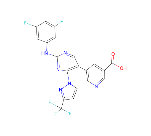 O=C(O)c1cncc(-c2cnc(Nc3cc(F)cc(F)c3)nc2-n2ccc(C(F)(F)F)n2)c1